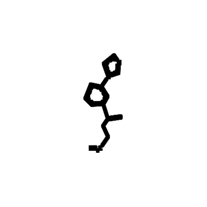 O=C(O)CCC(=O)c1cccc(-n2ccnc2)c1